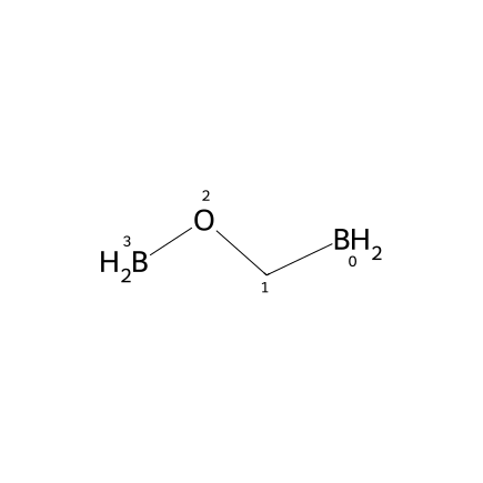 BCOB